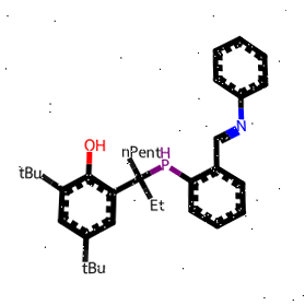 CCCCCC(CC)(Pc1ccccc1/C=N/c1ccccc1)c1cc(C(C)(C)C)cc(C(C)(C)C)c1O